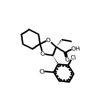 CC[C@@]1(C(=O)O)OC2(CCCCC2)O[C@H]1c1c(Cl)cccc1Cl